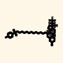 Cc1ccc(S(=O)(=O)CCCCCCCCCCCCCC2CC3=CC(=O)CC[C@]3(C)[C@@H]3CC[C@@]4(C)[C@@H](CCC4(O)C(F)(F)C(F)(F)F)[C@H]23)cc1